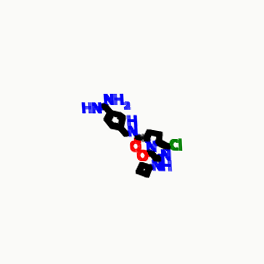 N=C(N)c1ccc(CNC(=O)[C@@H]2CCc3c(Cl)nc(NC4CCC4)c(=O)n32)cc1